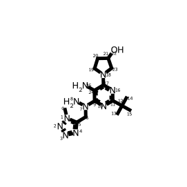 Cn1nnnc1CN(N)c1nc(C(C)(C)C)nc(N2CCC(O)C2)c1N